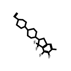 C=CC1CCC(C2CCC(C3Cc4cc(C)c(F)c(F)c4C3(F)F)CC2)CC1